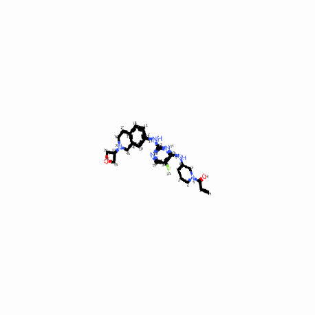 C=CC(=O)N1CCCC(Nc2nc(Nc3ccc4c(c3)CN(C3COC3)CC4)ncc2F)C1